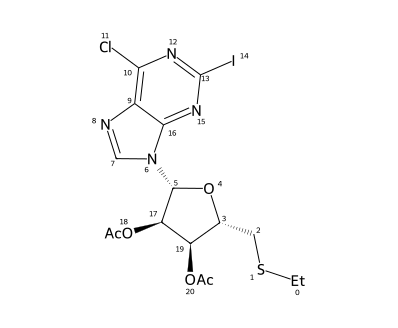 CCSC[C@H]1O[C@@H](n2cnc3c(Cl)nc(I)nc32)[C@H](OC(C)=O)[C@@H]1OC(C)=O